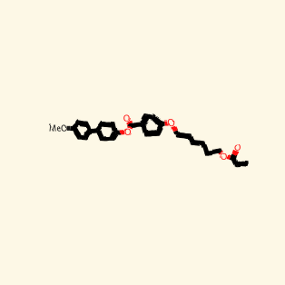 C=CC(=O)OCCCCCCOc1ccc(C(=O)Oc2ccc(-c3ccc(OC)cc3)cc2)cc1